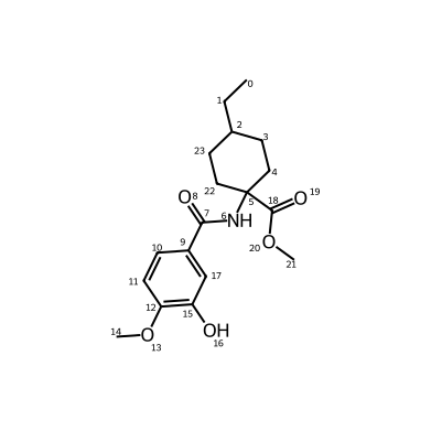 CCC1CCC(NC(=O)c2ccc(OC)c(O)c2)(C(=O)OC)CC1